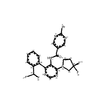 CC(C)c1ncc(C(=O)Nc2c(-c3ccccc3C(F)F)ncnc2N2CCC(F)(F)C2)cn1